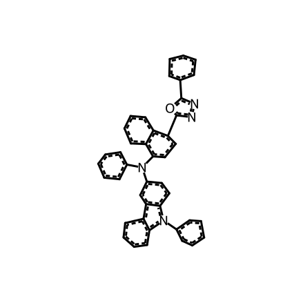 c1ccc(-c2nnc(-c3ccc(N(c4ccccc4)c4ccc5c(c4)c4ccccc4n5-c4ccccc4)c4ccccc34)o2)cc1